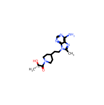 Cc1nc2c(N)ncnc2n1CCC1CCN(C(=O)[C@H](C)O)CC1